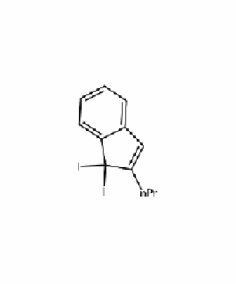 CCCC1=Cc2ccccc2C1(I)I